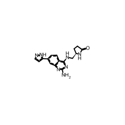 Nc1nc(NC[C@H]2CCC(=O)N2)c2ccc(-c3ccn[nH]3)cc2n1